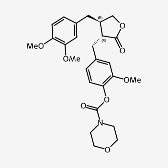 COc1ccc(C[C@H]2COC(=O)[C@@H]2Cc2ccc(OC(=O)N3CCOCC3)c(OC)c2)cc1OC